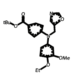 CCOc1ccc(N(Cc2cnco2)c2ccc(C(=O)OC(C)(C)C)cc2)cc1OC